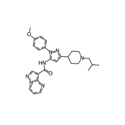 COc1ccc(-n2nc(C3CCN(CC(C)C)CC3)cc2NC(=O)c2cnn3cccnc23)cc1